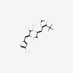 CC(C)(C)c1[nH]cnc1/C=c1\[nH]c(=O)/c(=C/c2cc(Br)cs2)[nH]c1=O